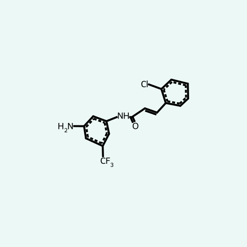 Nc1cc(NC(=O)C=Cc2ccccc2Cl)cc(C(F)(F)F)c1